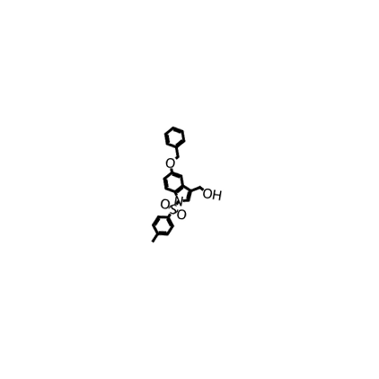 Cc1ccc(S(=O)(=O)n2cc(CO)c3cc(OCc4ccccc4)ccc32)cc1